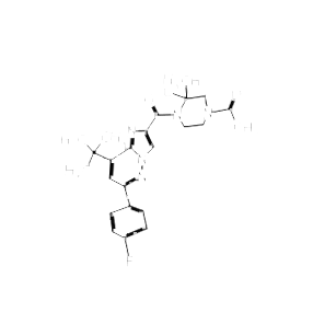 CC(=O)N1CCN(C(=O)c2cn3nc(-c4ccc(F)cc4)cc(C(C)(C)C)c3n2)C(C)(C)C1